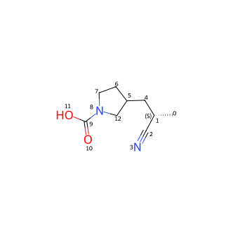 C[C@H](C#N)CC1CCN(C(=O)O)C1